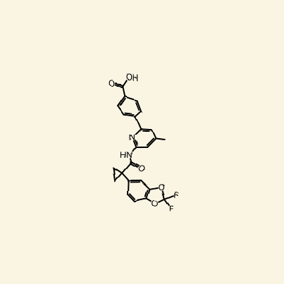 Cc1cc(NC(=O)C2(c3ccc4c(c3)OC(F)(F)O4)CC2)nc(-c2ccc(C(=O)O)cc2)c1